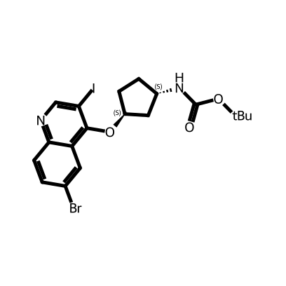 CC(C)(C)OC(=O)N[C@H]1CC[C@H](Oc2c(I)cnc3ccc(Br)cc23)C1